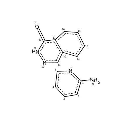 Nc1ccccn1.O=c1[nH]ncc2ccccc12